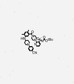 Cc1cc(C)c(C(=O)N2CCN(c3ncccc3[S@@](C)(=O)=NC(=O)OC(C)(C)C)CC2)cc1NC1CCN(c2ccc(C#N)cc2)CC1